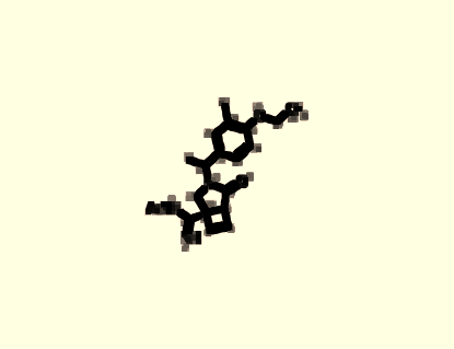 CC(=O)NC(=N)[C@]12C=CC1C(=O)N(C(C)c1ccc(OCC(F)(F)F)c(C)c1)C2